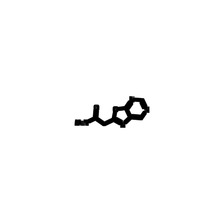 CNC(=O)Cc1nc2cncnc2o1